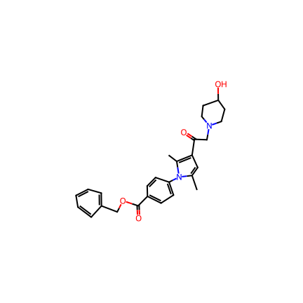 Cc1cc(C(=O)CN2CCC(O)CC2)c(C)n1-c1ccc(C(=O)OCc2ccccc2)cc1